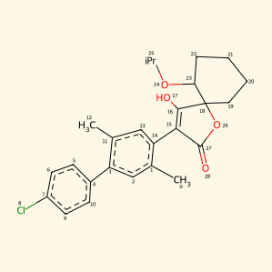 Cc1cc(-c2ccc(Cl)cc2)c(C)cc1C1=C(O)C2(CCCCC2OC(C)C)OC1=O